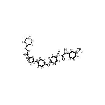 O=C(Nc1cnc(Oc2ccc(-c3cnc(NCCN4CCOCC4)s3)cc2)nc1)Nc1cccc(C(F)(F)F)c1